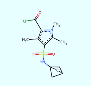 Cc1c(S(=O)(=O)NC23CC(C2)C3)c(C)n(C)c1C(=O)Cl